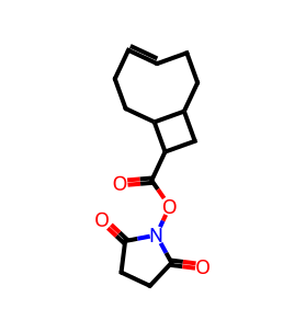 O=C(ON1C(=O)CCC1=O)C1CC2CC/C=C/CCC21